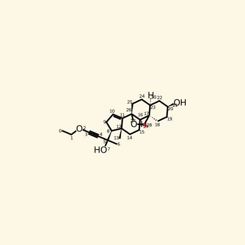 CCOC#CC(C)(O)[C@H]1CC=C2[C@]1(C)CC[C@@H]1[C@@]34CC[C@H](O)C[C@@H]3CC[C@@]21OC4